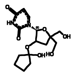 O=c1ccn([C@@H]2OC(CO)(CO)CC2OC2(O)CCCC2)c(=O)[nH]1